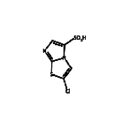 O=S(=O)(O)c1cnc2sc(Cl)cn12